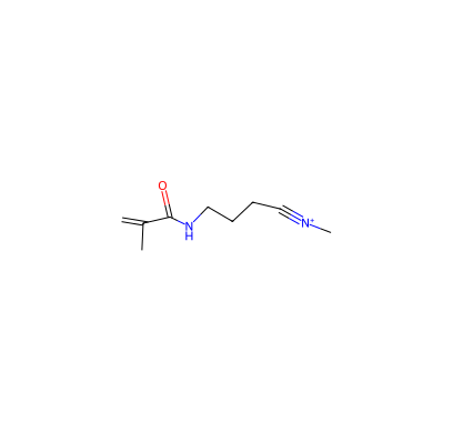 C=C(C)C(=O)NCCCC#[N+]C